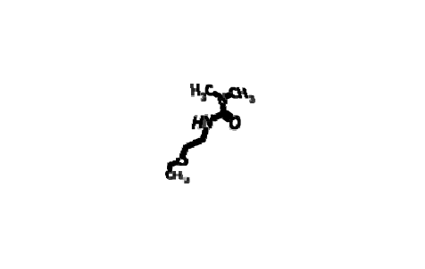 CCOCCNC(=O)N(C)C